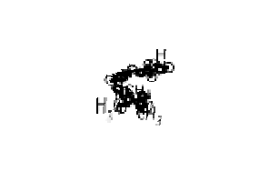 COc1cc(-c2cn(C)c(=O)c3cnccc23)cc(OC)c1CN1CCC(C(=O)N2CCC3(CC2)CC(Oc2ccc4c(c2)C(=O)N(C2CCC(=O)NC2=O)C4=O)C3)CC1